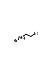 CCC[CH][Mg][Br]